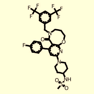 CS(=O)(=O)NC1CCN(c2cc(-c3ccc(F)cc3)c3c(n2)OCCCN(Cc2cc(C(F)(F)F)cc(C(F)(F)F)c2)C3=O)CC1